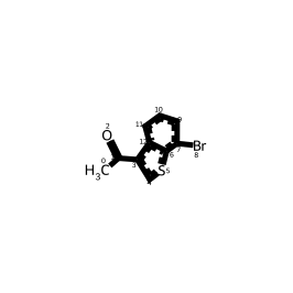 CC(=O)c1csc2c(Br)cccc12